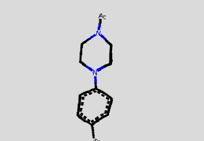 CC(=O)N1CCN(c2ccc(C(C)C)cc2)CC1